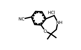 CC1(C)CNCc2ccc(C#N)cc2O1.Cl